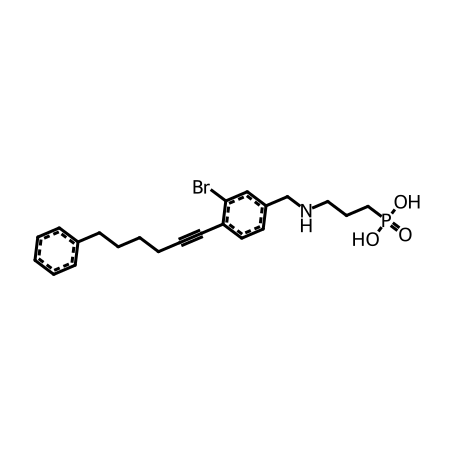 O=P(O)(O)CCCNCc1ccc(C#CCCCCc2ccccc2)c(Br)c1